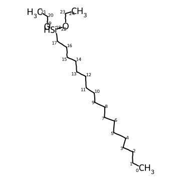 CCCCCCCCCCCCCCCCCC[SiH](OCC)OCC